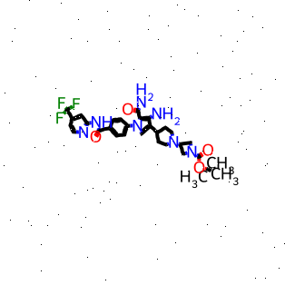 CC(C)(C)OC(=O)N1CC(N2CCC(c3cn(-c4ccc(C(=O)Nc5cc(C(F)(F)F)ccn5)cc4)c(C(N)=O)c3N)CC2)C1